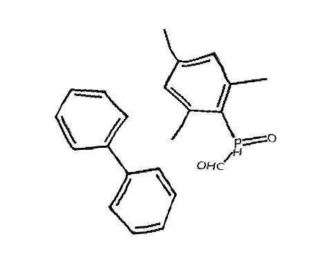 Cc1cc(C)c([PH](=O)C=O)c(C)c1.c1ccc(-c2ccccc2)cc1